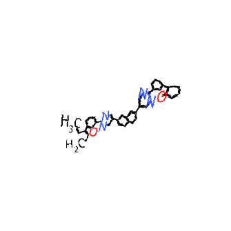 C=Cc1oc2c(-c3ncc(-c4ccc5ccc(-c6cnc(-c7cccc8c7oc7ccccc78)nc6)cc5c4)cn3)cccc2c1/C=C\C